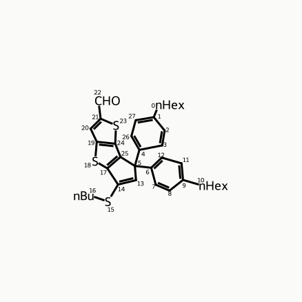 CCCCCCc1ccc(C2(c3ccc(CCCCCC)cc3)C=C(SCCCC)c3sc4cc(C=O)sc4c32)cc1